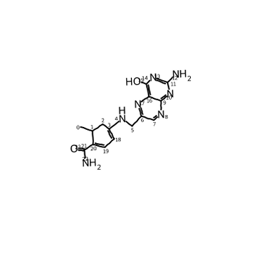 CC1CC(NCc2cnc3nc(N)nc(O)c3n2)=CC=C1C(N)=O